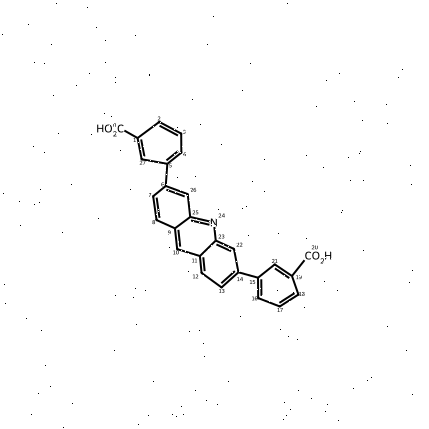 O=C(O)c1cccc(-c2ccc3cc4ccc(-c5cccc(C(=O)O)c5)cc4nc3c2)c1